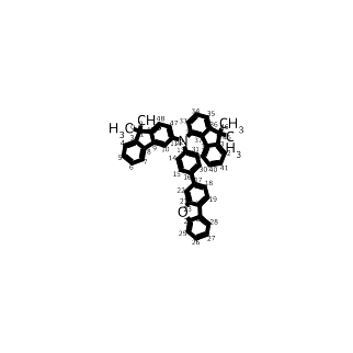 CC1(C)c2ccccc2-c2cc(N(c3ccc(-c4ccc5c(c4)oc4ccccc45)cc3)c3cccc4c3-c3ccccc3C4(C)C)ccc21